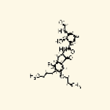 CCCCc1c(OCCC)cc2c(c1F)CC(NC(=O)c1cccc(NC=O)c1O)C2=O